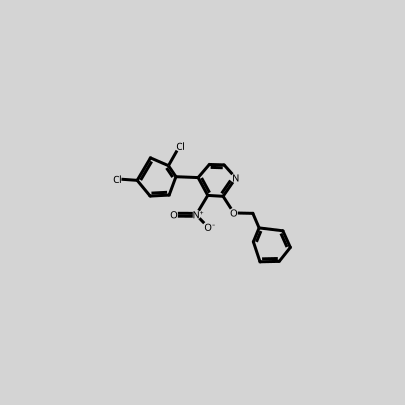 O=[N+]([O-])c1c(-c2ccc(Cl)cc2Cl)ccnc1OCc1ccccc1